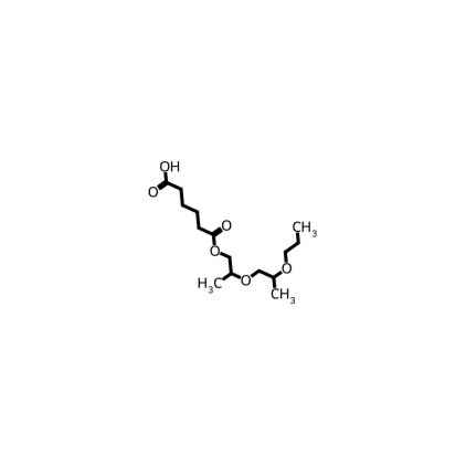 CCCOC(C)COC(C)COC(=O)CCCCC(=O)O